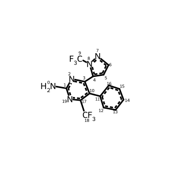 Nc1nc(-c2ccnn2C(F)(F)F)c(-c2ccccc2)c(C(F)(F)F)n1